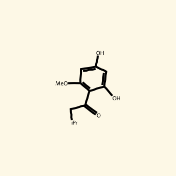 COc1cc(O)cc(O)c1C(=O)CC(C)C